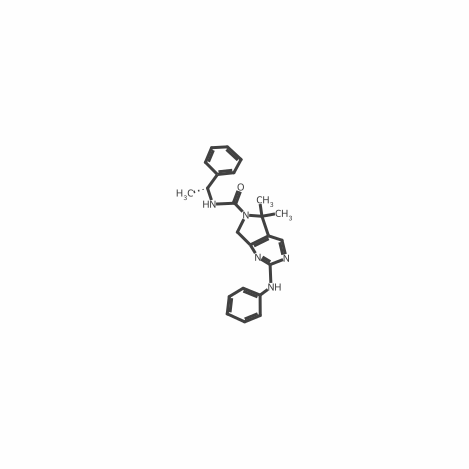 C[C@@H](NC(=O)N1Cc2nc(Nc3ccccc3)ncc2C1(C)C)c1ccccc1